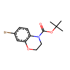 CC(C)(C)OC(=O)N1CCOc2cc(Br)ccc21